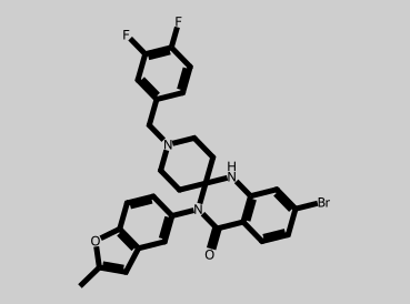 Cc1cc2cc(N3C(=O)c4ccc(Br)cc4NC34CCN(Cc3ccc(F)c(F)c3)CC4)ccc2o1